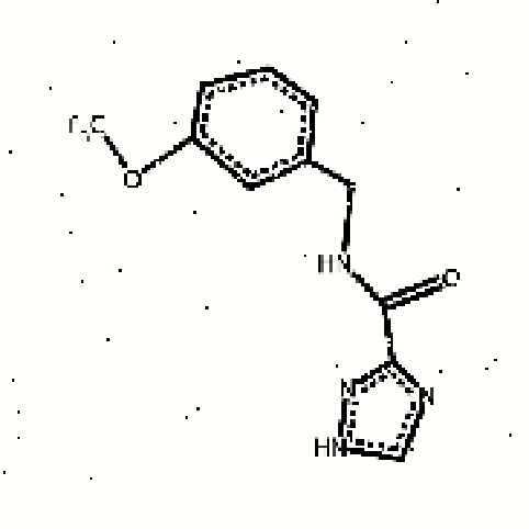 O=C(NCc1cccc(OC(F)(F)F)c1)c1nc[nH]n1